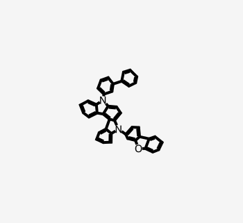 c1ccc(-c2cccc(-n3c4ccccc4c4c5c6ccccc6n(-c6ccc7c(c6)oc6ccccc67)c5ccc43)c2)cc1